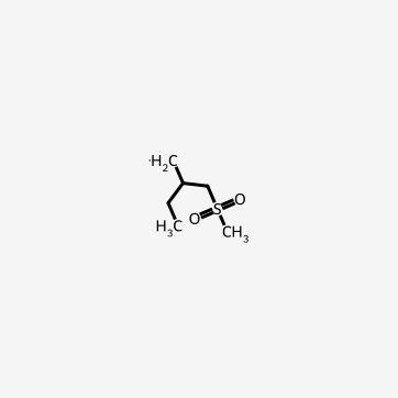 [CH2]C(CC)CS(C)(=O)=O